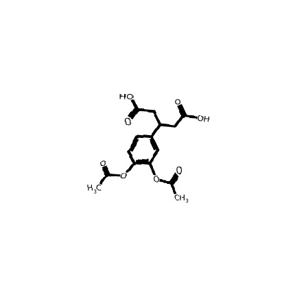 CC(=O)Oc1ccc(C(CC(=O)O)CC(=O)O)cc1OC(C)=O